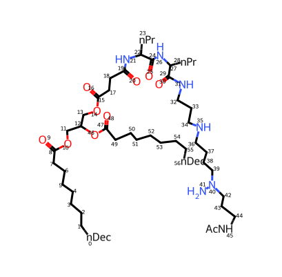 CCCCCCCCCCCCCCCCCC(=O)OCC(COC(=O)CCC(=O)NC(CCC)C(=O)NC(CCC)C(=O)NCCCNCCCCN(N)CCCNC(C)=O)OC(=O)CCCCCCCCCCCCCCCCC